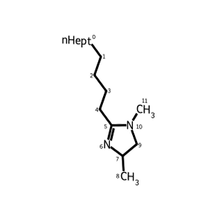 CCCCCCCCCCCC1=NC(C)CN1C